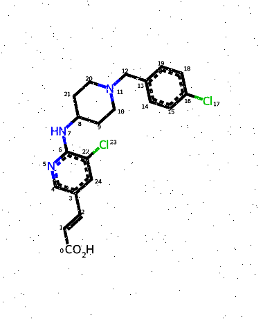 O=C(O)C=Cc1cnc(NC2CCN(Cc3ccc(Cl)cc3)CC2)c(Cl)c1